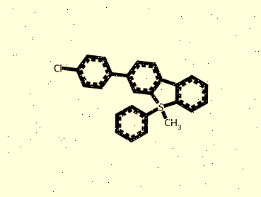 CS1(c2ccccc2)c2ccccc2-c2ccc(-c3ccc(Cl)cc3)cc21